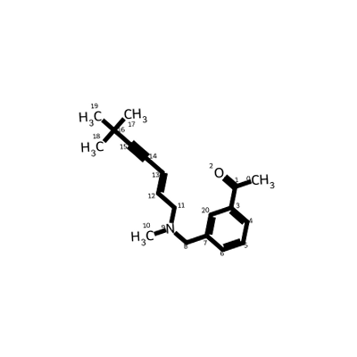 CC(=O)c1cccc(CN(C)C/C=C/C#CC(C)(C)C)c1